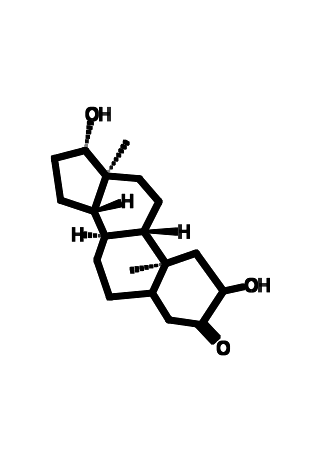 C[C@]12CC[C@H]3[C@@H](CCC4CC(=O)C(O)C[C@@]43C)[C@@H]1CC[C@@H]2O